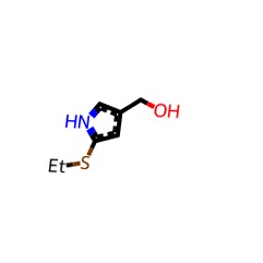 CCSc1cc(CO)c[nH]1